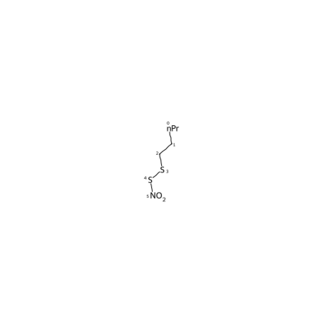 CCCCCSS[N+](=O)[O-]